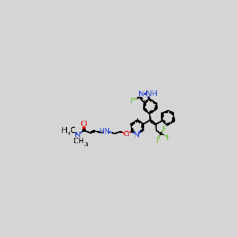 CN(C)C(=O)/C=C/CNCCOc1ccc(/C(=C(\CC(F)(F)F)c2ccccc2)c2ccc3[nH]nc(F)c3c2)cn1